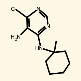 CC1(Nc2ncnc(Cl)c2N)CCCCC1